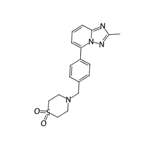 Cc1nc2cccc(-c3ccc(CN4CCS(=O)(=O)CC4)cc3)n2n1